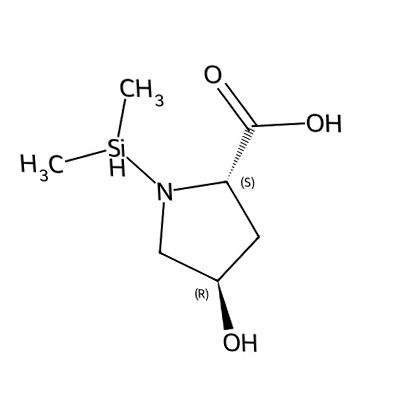 C[SiH](C)N1C[C@H](O)C[C@H]1C(=O)O